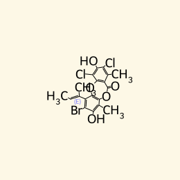 C/C=C(\C)c1c(Br)c(O)c(C)c2c1Oc1c(Cl)c(O)c(Cl)c(C)c1C(=O)O2